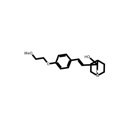 COCCOc1ccc(C=CC2(O)CN3CCC2CC3)cc1